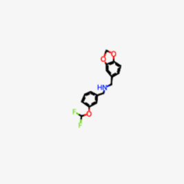 FC(F)Oc1cccc(CNCc2ccc3c(c2)OCO3)c1